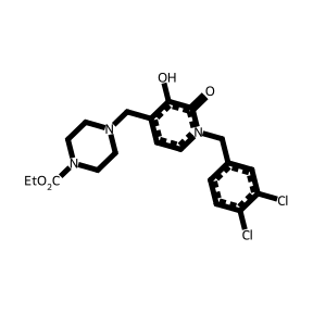 CCOC(=O)N1CCN(Cc2ccn(Cc3ccc(Cl)c(Cl)c3)c(=O)c2O)CC1